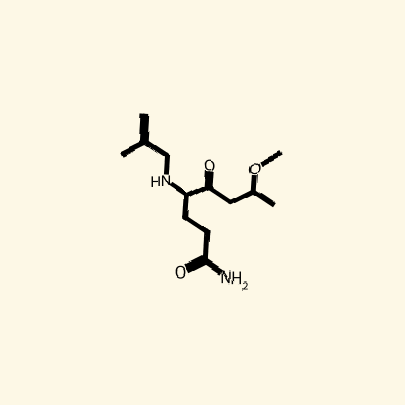 C=C(C)CNC(CCC(N)=O)C(=O)CC(C)OC